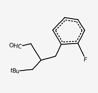 CC(C)(C)CC(CC=O)Cc1ccccc1F